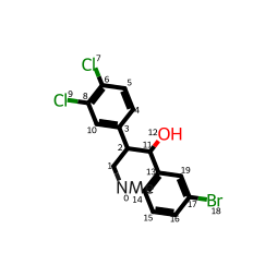 CNCC(c1ccc(Cl)c(Cl)c1)C(O)c1cccc(Br)c1